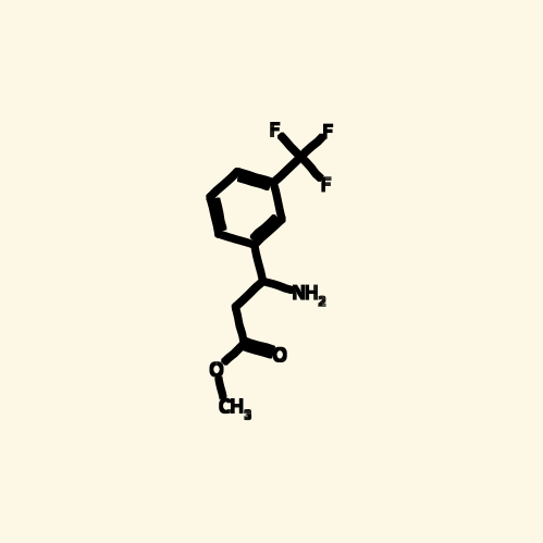 COC(=O)CC(N)c1cccc(C(F)(F)F)c1